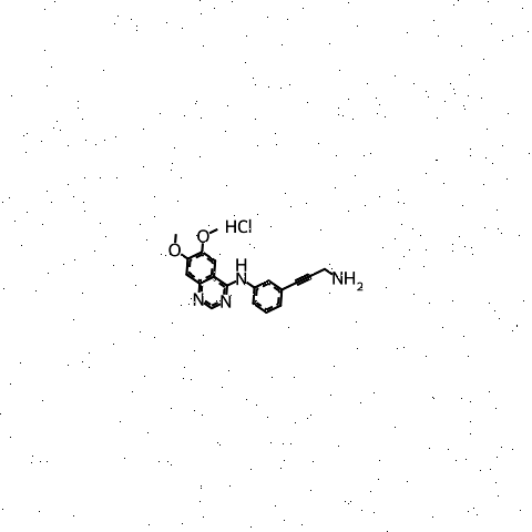 COc1cc2ncnc(Nc3cccc(C#CCN)c3)c2cc1OC.Cl